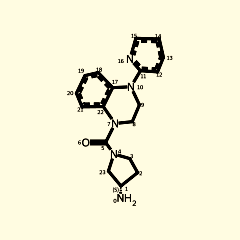 N[C@H]1CCN(C(=O)N2CCN(c3ccccn3)c3ccccc32)C1